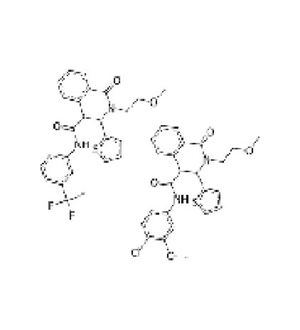 COCCN1C(=O)c2ccccc2C(C(=O)Nc2ccc(Cl)c(OC)c2)C1c1cccs1.COCCN1C(=O)c2ccccc2C(C(=O)Nc2cccc(C(F)(F)F)c2)C1c1cccs1